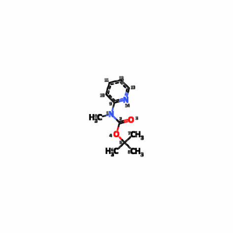 CN(C(=O)OC(C)(C)C)c1cc[c]cn1